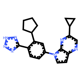 c1cc(-c2nn[nH]n2)c(C2CCCC2)cc1-n1ccc2ncc(C3CC3)nc21